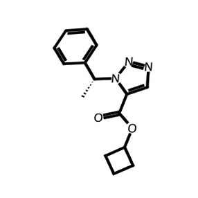 C[C@H](c1ccccc1)n1nncc1C(=O)OC1CCC1